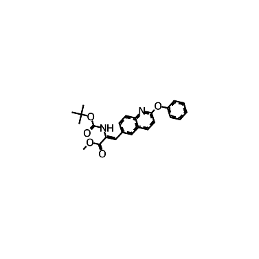 COC(=O)C(=Cc1ccc2nc(Oc3ccccc3)ccc2c1)NC(=O)OC(C)(C)C